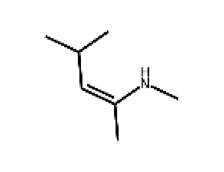 CN/C(C)=C\C(C)C